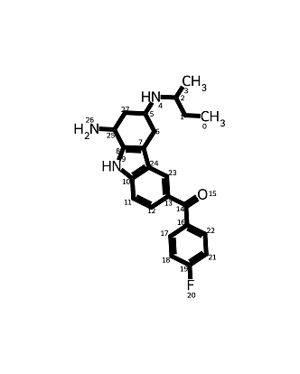 CCC(C)NC1Cc2c([nH]c3ccc(C(=O)c4ccc(F)cc4)cc23)C(N)C1